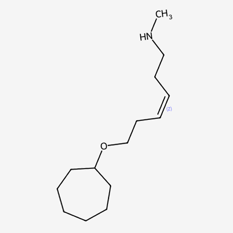 CNCC/C=C\CCOC1CCCCCC1